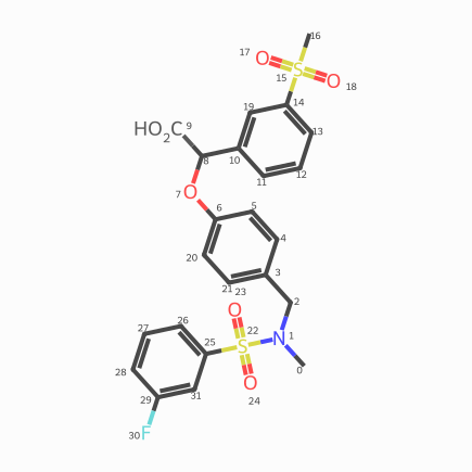 CN(Cc1ccc(OC(C(=O)O)c2cccc(S(C)(=O)=O)c2)cc1)S(=O)(=O)c1cccc(F)c1